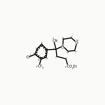 CCOC(=O)CCC(C#N)(c1ccc(Cl)c(C(F)(F)F)c1)N1CCOCC1